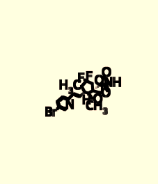 C[C@H]1OC(=O)[C@]2(c3n[nH]c(=O)o3)CC(F)(F)[C@@H](C)[C@H](C=Cc3ccc(Br)cn3)[C@H]12